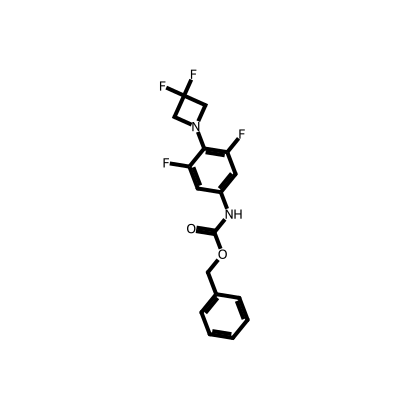 O=C(Nc1cc(F)c(N2CC(F)(F)C2)c(F)c1)OCc1ccccc1